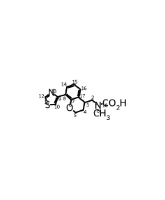 CN(CC1CCOc2c(-c3cscn3)cccc21)C(=O)O